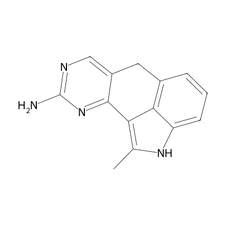 Cc1[nH]c2cccc3c2c1-c1nc(N)ncc1C3